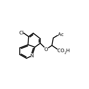 CC(=O)CC(Oc1ccc(Cl)c2cccnc12)C(=O)O